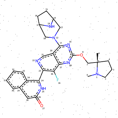 CN1CCC[C@@]1(C)COc1nc(N2CC3CCC(C2)N3)c2cnc(-c3[nH]c(=O)cc4ccccc34)c(F)c2n1